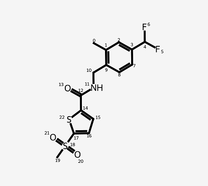 Cc1cc(C(F)F)ccc1CNC(=O)c1ccc(S(C)(=O)=O)s1